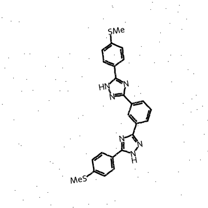 CSc1ccc(-c2nc(-c3cccc(-c4n[nH]c(-c5ccc(SC)cc5)n4)c3)n[nH]2)cc1